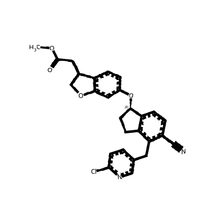 COC(=O)CC1COc2cc(O[C@@H]3CCc4c3ccc(C#N)c4Cc3ccc(Cl)nc3)ccc21